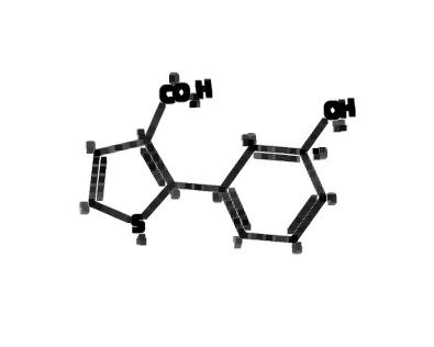 O=C(O)c1ccsc1-c1cccc(O)c1